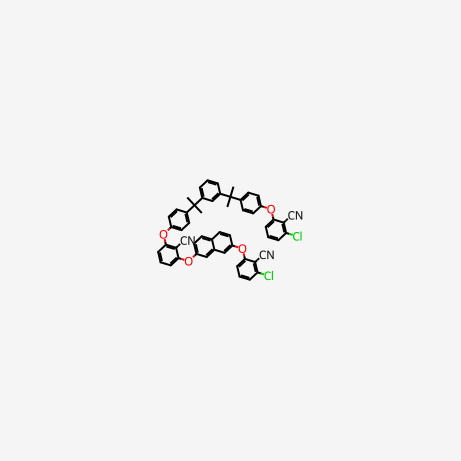 CC(C)(c1ccc(Oc2cccc(Cl)c2C#N)cc1)c1cccc(C(C)(C)c2ccc(Oc3cccc(Oc4ccc5ccc(Oc6cccc(Cl)c6C#N)cc5c4)c3C#N)cc2)c1